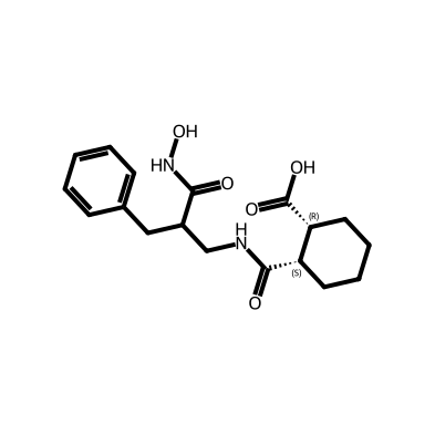 O=C(NO)C(CNC(=O)[C@H]1CCCC[C@H]1C(=O)O)Cc1ccccc1